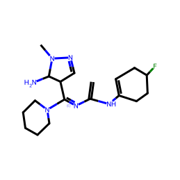 C=C(/N=C(\C1C=NN(C)C1N)N1CCCCC1)NC1=CCC(F)CC1